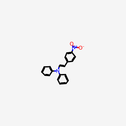 O=[N+]([O-])c1ccc(C=CN(c2ccccc2)c2ccccc2)cc1